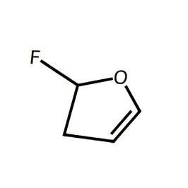 FC1CC=CO1